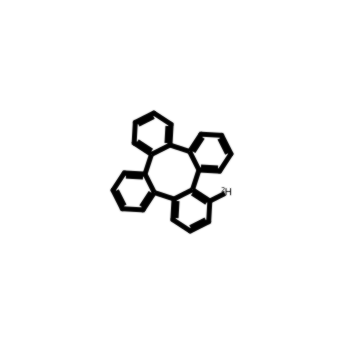 [2H]c1cccc2c1-c1ccccc1-c1ccccc1-c1ccccc1-2